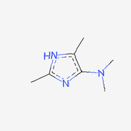 Cc1nc(N(C)C)c(C)[nH]1